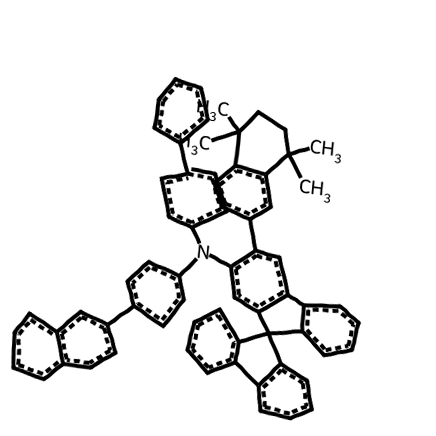 CC1(C)CCC(C)(C)c2cc(-c3cc4c(cc3N(c3ccc(-c5ccccc5)cc3)c3ccc(-c5ccc6ccccc6c5)cc3)C3(c5ccccc5-c5ccccc53)c3ccccc3-4)ccc21